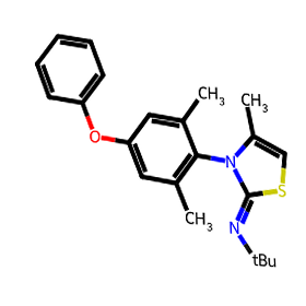 Cc1cc(Oc2ccccc2)cc(C)c1-n1c(C)csc1=NC(C)(C)C